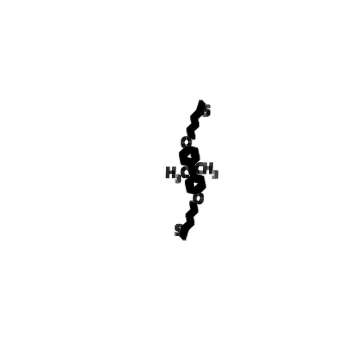 CC(C)(c1ccc(OCCCCC2CS2)cc1)c1ccc(OCCCCC2CS2)cc1